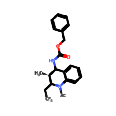 CC(=O)N1c2ccccc2C(NC(=O)OCc2ccccc2)[C@@H](C)C1CC(F)(F)F